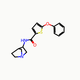 O=C(NC1CN2CCC1C2)c1ccc(Oc2ccccc2)s1